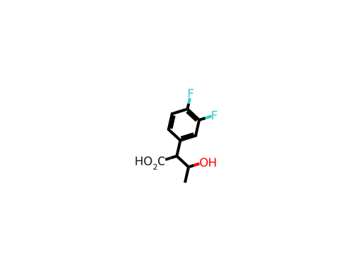 CC(O)C(C(=O)O)c1ccc(F)c(F)c1